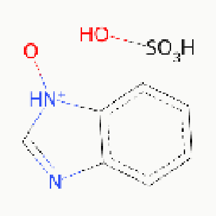 O=S(=O)(O)O.[O-][NH+]1C=Nc2ccccc21